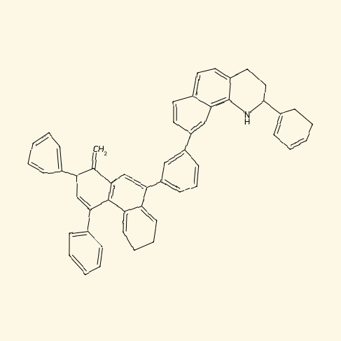 C=C1c2cc(-c3cccc(-c4ccc5ccc6c(c5c4)NC(C4=CC=CCC4)CC6)c3)c3c(c2C(c2ccccc2)=CC1c1ccccc1)=CCCC=3